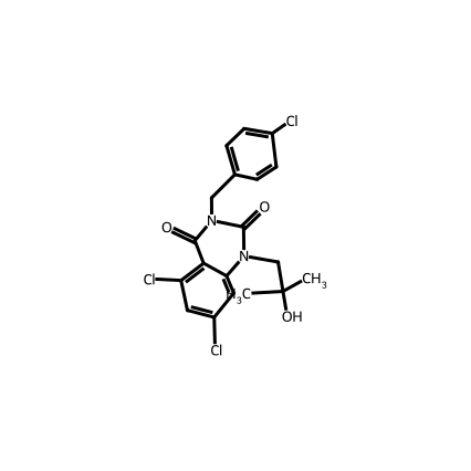 CC(C)(O)Cn1c(=O)n(Cc2ccc(Cl)cc2)c(=O)c2c(Cl)cc(Cl)cc21